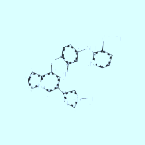 CCOC(=O)c1cccnc1Nc1ccc(Oc2cc(-c3cn(C)cn3)cn3nccc23)c(F)c1